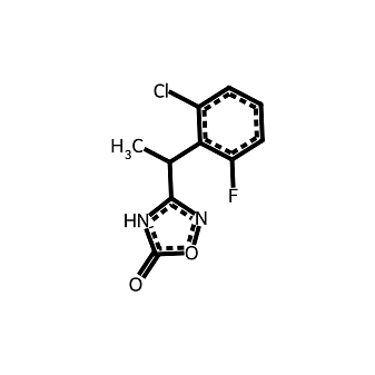 CC(c1noc(=O)[nH]1)c1c(F)cccc1Cl